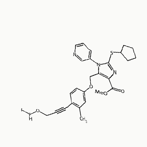 COC(=O)c1nc(SC2CCCC2)n(-c2cccnc2)c1COc1ccc(C#CCOPI)c(C)c1